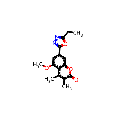 CCc1nnc(-c2cc(OC)c3c(C)c(C)c(=O)oc3c2)o1